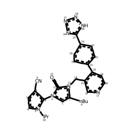 CCCCc1cn(-c2c(C#N)ccn2C(C)C)c(=O)n1Cc1cnccc1-c1ccc(-c2nnn[nH]2)cc1